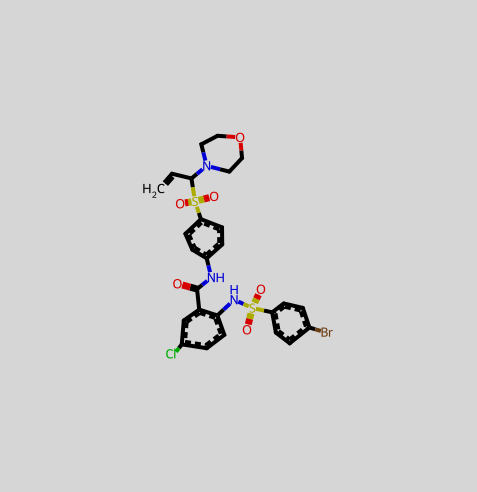 C=CC(N1CCOCC1)S(=O)(=O)c1ccc(NC(=O)c2cc(Cl)ccc2NS(=O)(=O)c2ccc(Br)cc2)cc1